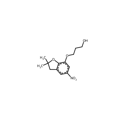 CC1(C)Cc2cc([N+](=O)[O-])cc(OCCCO)c2O1